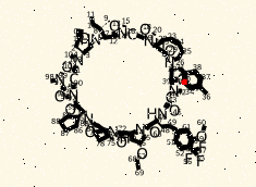 C#CC[C@H]1C(=O)N[C@@H]([C@@H](C)CC)C(=O)N(C)CC(=O)N(C)[C@H]2C/C=C\CCN(C2=O)[C@@H](Cc2ccc(C)cc2)C(=O)N(C)CC(=O)N[C@@H](CCc2ccc(C(F)(F)F)c(OC)c2)C(=O)N2C[C@H](OCC)C[C@H]2C(=O)N(C)C2(CCC2)C(=O)N(C)[C@@H](C2CCCC2)C(=O)N(C)[C@H](C(=O)N(C)C)CC(=O)N1C